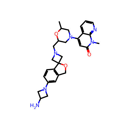 CC1CN(c2cc(=O)n(C)c3ncccc23)CC(CN2CC3(C2)OCc2cc(N4CC(N)C4)ccc23)O1